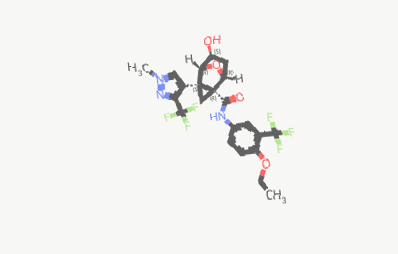 CCOc1ccc(NC(=O)[C@]23C[C@@]2(c2cn(C)nc2C(F)(F)F)[C@H]2O[C@@H]3C[C@@H]2O)cc1C(F)(F)F